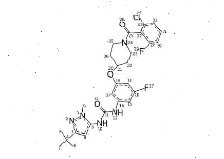 Cn1nc(C(C)(C)C)cc1NC(=O)Nc1cc(F)cc(OC2CCN(C(=O)c3c(F)cccc3Cl)CC2)c1